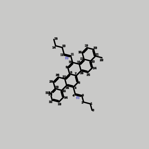 CCC/C=C/c1cc2c(cc(/C=C/CCC)c3c4cccc(C)c4ccc23)c2ccc3ncccc3c12